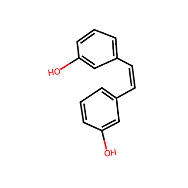 Oc1cccc(/C=C\c2cccc(O)c2)c1